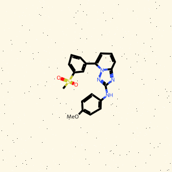 COc1ccc(Nc2nc3cccc(-c4cccc(S(C)(=O)=O)c4)n3n2)cc1